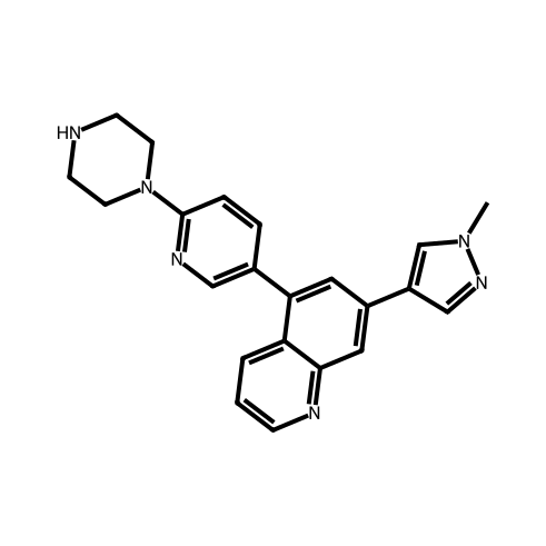 Cn1cc(-c2cc(-c3ccc(N4CCNCC4)nc3)c3cccnc3c2)cn1